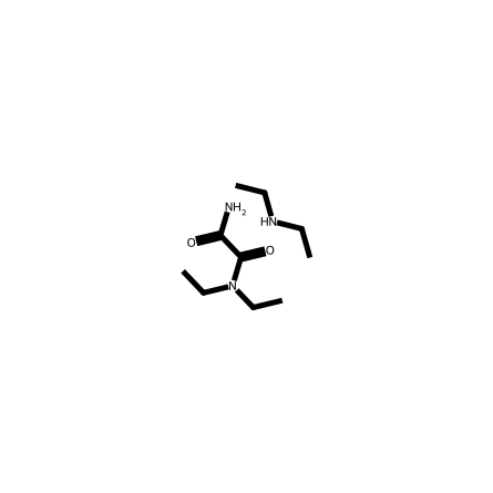 CCN(CC)C(=O)C(N)=O.CCNCC